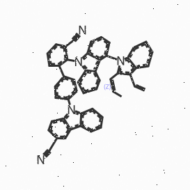 C=Cc1c(/C=C\C)n(-c2cccc3c2c2ccccc2n3-c2c(C#N)cccc2-c2ccc(-n3c4ccccc4c4cc(C#N)ccc43)cc2)c2ccccc12